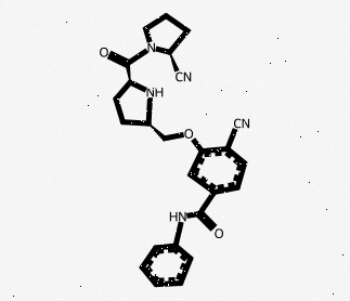 N#Cc1ccc(C(=O)Nc2ccccc2)cc1OC[C@H]1CC[C@@H](C(=O)N2CCC[C@H]2C#N)N1